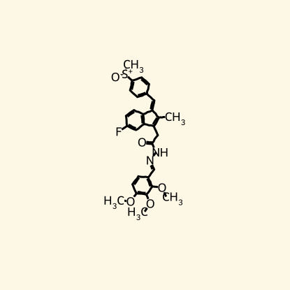 COc1ccc(C=NNC(=O)CC2=C(C)/C(=C/c3ccc([S+](C)[O-])cc3)c3ccc(F)cc32)c(OC)c1OC